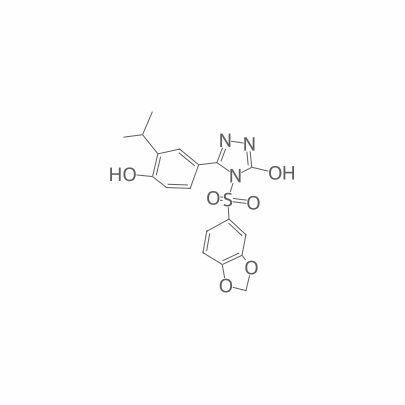 CC(C)c1cc(-c2nnc(O)n2S(=O)(=O)c2ccc3c(c2)OCO3)ccc1O